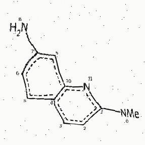 CNc1ccc2ccc(N)cc2n1